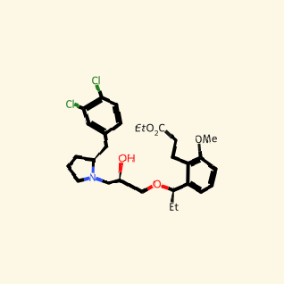 CCOC(=O)CCc1c(OC)cccc1[C@@H](CC)OC[C@H](O)CN1CCC[C@H]1Cc1ccc(Cl)c(Cl)c1